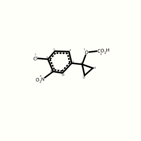 O=C(O)OC1(c2ccc(Cl)c([N+](=O)[O-])c2)CC1